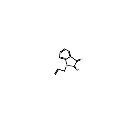 C=CCN1C(=N)C(=O)c2ccccc21